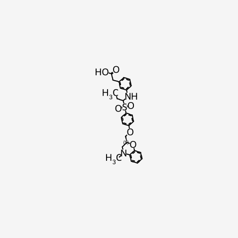 CCC(Nc1cccc(CC(=O)O)c1)S(=O)(=O)c1ccc(OC[C@@H]2CN(C)c3ccccc3O2)cc1